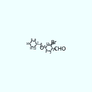 O=Cc1ccc(OCc2ccccc2)cc1Br